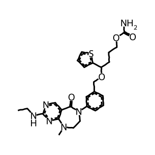 CCNc1ncc2c(n1)N(C)CCN(c1cccc(COC(CCCOC(N)=O)c3cccs3)c1)C2=O